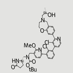 COc1nc(-c2cccc(-c3ccnc(-c4ccc5c(c4)OCCN(C[C@H](C)O)C5)c3Cl)c2Cl)ccc1CN(C[C@@H]1CCC(=O)N1)C(=O)OC(C)(C)C